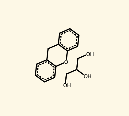 OCC(O)CO.c1ccc2c(c1)Cc1ccccc1O2